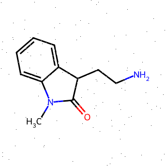 CN1C(=O)C(CCN)c2ccccc21